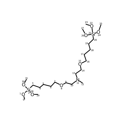 CO[Si](CCCCCOCCN(C)CCOCCCCC[Si](OC)(OC)OC)(OC)OC